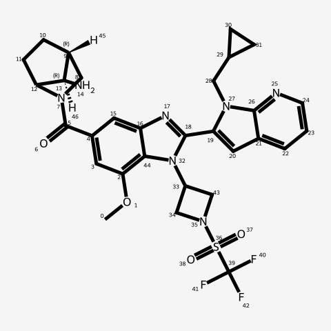 COc1cc(C(=O)N2C[C@H]3CCC2[C@@H]3N)cc2nc(-c3cc4cccnc4n3CC3CC3)n(C3CN(S(=O)(=O)C(F)(F)F)C3)c12